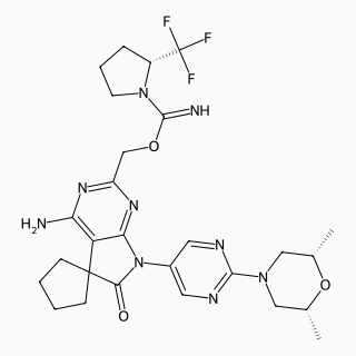 C[C@@H]1CN(c2ncc(N3C(=O)C4(CCCC4)c4c(N)nc(COC(=N)N5CCC[C@@H]5C(F)(F)F)nc43)cn2)C[C@H](C)O1